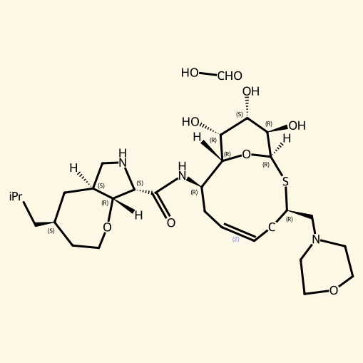 CC(C)C[C@@H]1CCO[C@@H]2[C@H](CN[C@@H]2C(=O)N[C@@H]2C/C=C\C[C@H](CN3CCOCC3)S[C@H]3O[C@H]2[C@H](O)[C@H](O)[C@H]3O)C1.O=CO